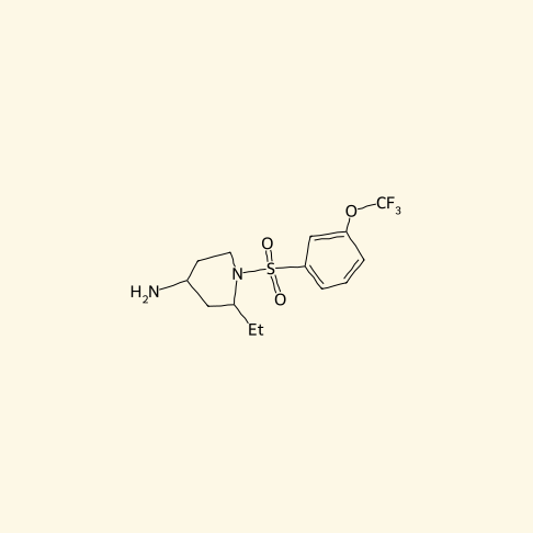 CCC1CC(N)CCN1S(=O)(=O)c1cccc(OC(F)(F)F)c1